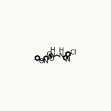 O=S(=O)(NCCCNc1ccnc2cc(Cl)ccc12)c1ccc(Oc2ccccc2)nc1